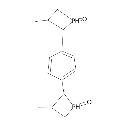 CC1C[PH](=O)C1c1ccc(C2C(C)C[PH]2=O)cc1